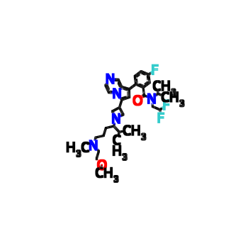 COCCN(C)CCCC(C(C)C)N1CC(c2cc(-c3ccc(F)cc3C(=O)N(CC(F)F)C(C)C)c3cnccn23)C1